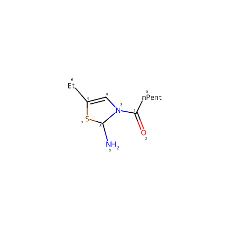 CCCCCC(=O)N1C=C(CC)SC1N